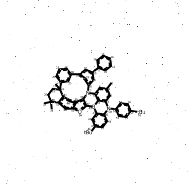 Cc1cc2c3c(c1)N1c4cc(-c5ccccc5)cc(c4)-c4cccc(c4)C4(C)CCC(C)(C)c5cc6oc(c1c6cc54)B3c1cc(C(C)(C)C)ccc1N2c1ccc(C(C)(C)C)cc1